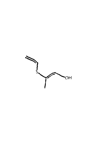 C=CSC(C)=CO